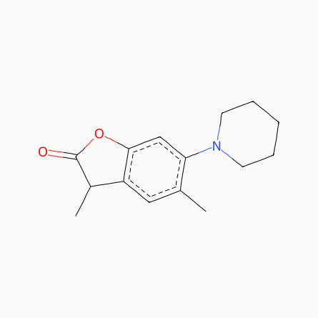 Cc1cc2c(cc1N1CCCCC1)OC(=O)C2C